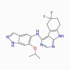 CC(C)Oc1cc2[nH]ncc2cc1Nc1ncnc2[nH]c3c(c12)CC(F)(F)CC3